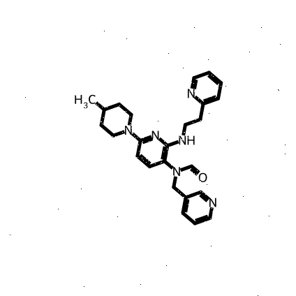 CC1CCN(c2ccc(N(C=O)Cc3cccnc3)c(NCCc3ccccn3)n2)CC1